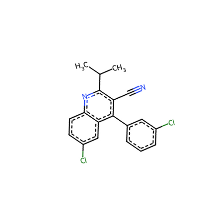 CC(C)c1nc2ccc(Cl)cc2c(-c2cccc(Cl)c2)c1C#N